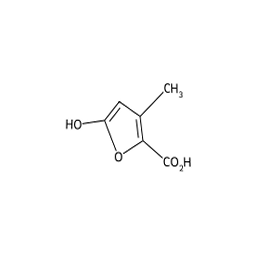 Cc1cc(O)oc1C(=O)O